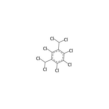 Clc1c(Cl)c(C(Cl)Cl)c(Cl)c(C(Cl)Cl)c1Cl